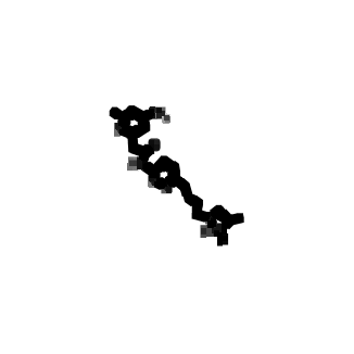 CC1=CN(CCCCc2ccc(NC(=O)Cc3cc(C(F)(F)F)cc(C)n3)nn2)NN1